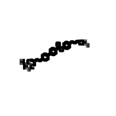 CCCCc1ccc(OC(=O)c2ccc(C3=CCC(CCC(CC)CC)CC3)cc2)cc1